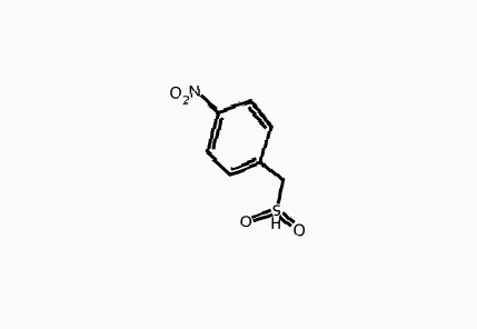 O=[N+]([O-])c1ccc(C[SH](=O)=O)cc1